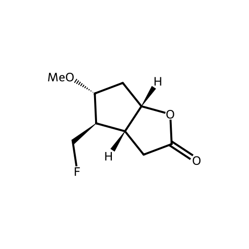 CO[C@@H]1C[C@@H]2OC(=O)C[C@@H]2[C@H]1CF